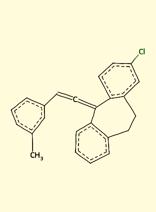 Cc1cccc(C=C=C2c3ccccc3CCc3cc(Cl)ccc32)c1